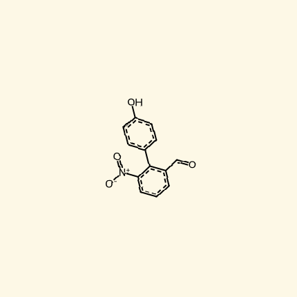 O=Cc1cccc([N+](=O)[O-])c1-c1ccc(O)cc1